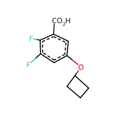 O=C(O)c1cc(OC2CCC2)cc(F)c1F